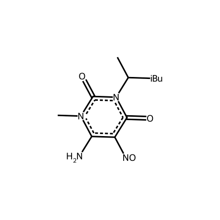 CCC(C)C(C)n1c(=O)c(N=O)c(N)n(C)c1=O